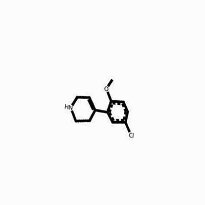 COc1ccc(Cl)cc1C1=CCNCC1